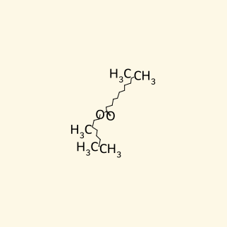 CC(C)CCCCCCCCC(=O)OCCC(C)CCCC(C)C